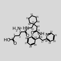 N[C@@H](CCC(=O)O)C(=O)NCC1(CC(=O)NC(Cc2ccccn2)c2ccccc2)CCCCC1